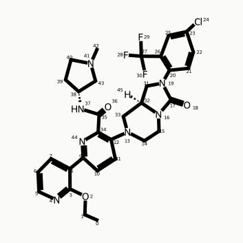 CCOc1ncccc1-c1ccc(N2CCN3C(=O)N(c4ccc(Cl)cc4C(F)(F)F)C[C@@H]3C2)c(C(=O)N[C@@H]2CCN(C)C2)n1